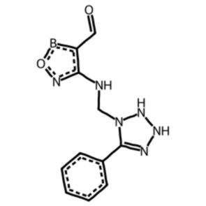 O=Cc1bonc1NCN1NNN=C1c1ccccc1